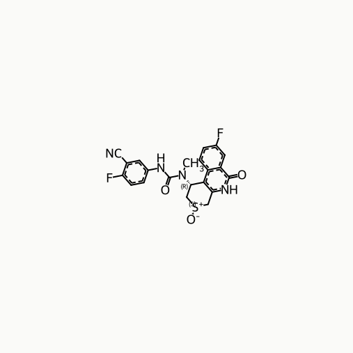 CN(C(=O)Nc1ccc(F)c(C#N)c1)[C@H]1C[S@@+]([O-])Cc2[nH]c(=O)c3cc(F)ccc3c21